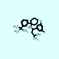 CC(O)CC(NC1(c2cccc(C(C)(C)C)c2)CCCCC1)c1cc(F)cc(F)c1